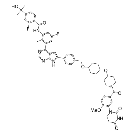 COc1ccc(C(=O)N2CCC(O[C@H]3CC[C@@H](OCc4ccc(-c5cc6c(-c7cc(F)cc(NC(=O)c8ccc(C(C)(C)O)cc8F)c7C)ncnc6[nH]5)cc4)CC3)CC2)cc1N1CCC(=O)NC1=O